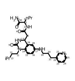 CCCC(NC(=O)CC1NC(=O)N(CCC(C)C)c2ccc(NCCCc3cccnc3)cc21)C(N)=O